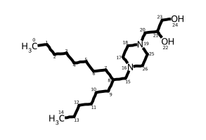 CCCCCCCCC(CCCCCC)CN1CCN(CC(O)CO)CC1